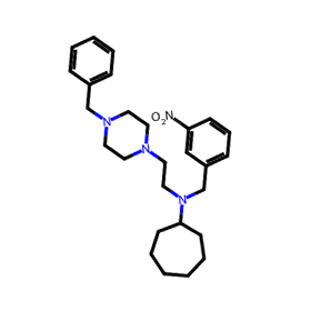 O=[N+]([O-])c1cccc(CN(CCN2CCN(Cc3ccccc3)CC2)C2CCCCCC2)c1